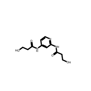 O=C(CCO)Nc1ccnc(NC(=O)CCO)c1